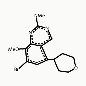 CNc1ncc2c(C3CCOCC3)cc(Br)c(OC)c2n1